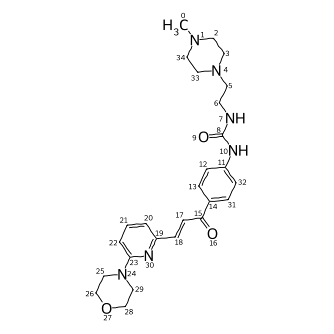 CN1CCN(CCNC(=O)Nc2ccc(C(=O)C=Cc3cccc(N4CCOCC4)n3)cc2)CC1